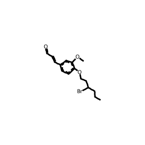 CCCC(Br)CCOc1ccc(C=CC=O)cc1OC